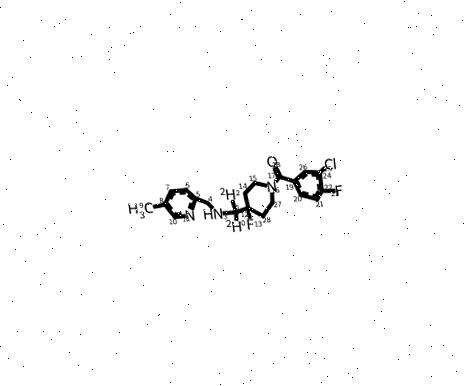 [2H]C([2H])(NCc1ccc(C)cn1)C1(F)CCN(C(=O)c2ccc(F)c(Cl)c2)CC1